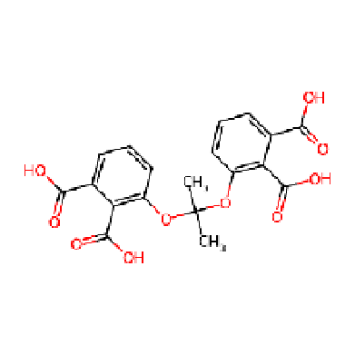 CC(C)(Oc1cccc(C(=O)O)c1C(=O)O)Oc1cccc(C(=O)O)c1C(=O)O